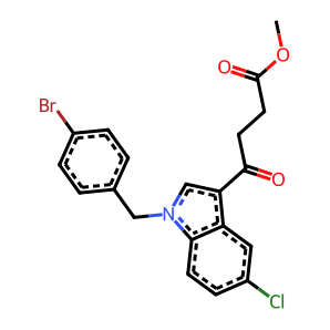 COC(=O)CCC(=O)c1cn(Cc2ccc(Br)cc2)c2ccc(Cl)cc12